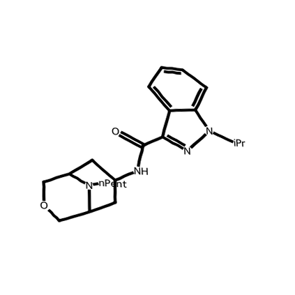 CCCCCN1C2COCC1CC(NC(=O)c1nn(C(C)C)c3ccccc13)C2